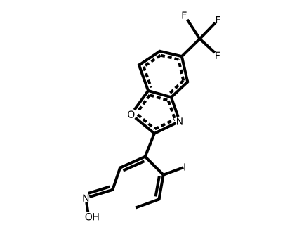 C\C=C(I)/C(=C\C=N\O)c1nc2cc(C(F)(F)F)ccc2o1